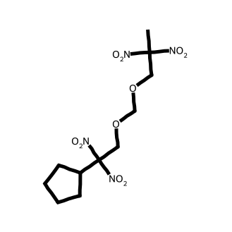 CC(COCOCC(C1CCCC1)([N+](=O)[O-])[N+](=O)[O-])([N+](=O)[O-])[N+](=O)[O-]